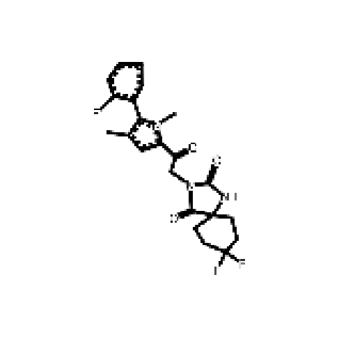 Cc1cc(C(=O)CN2C(=O)NC3(CCC(F)(F)CC3)C2=O)n(C)c1-c1ccccc1F